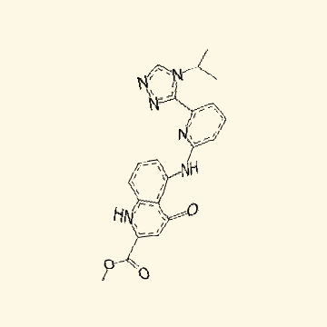 COC(=O)c1cc(=O)c2c(Nc3cccc(-c4nncn4C(C)C)n3)cccc2[nH]1